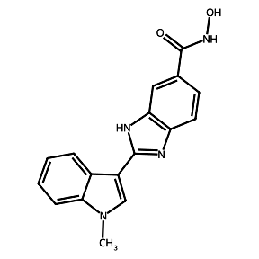 Cn1cc(-c2nc3ccc(C(=O)NO)cc3[nH]2)c2ccccc21